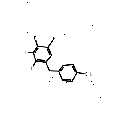 Cc1ccc(Cc2cc(F)c(F)c(F)c2F)cc1